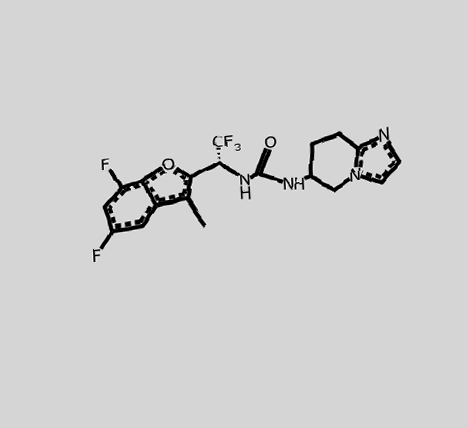 Cc1c([C@@H](NC(=O)NC2CCc3nccn3C2)C(F)(F)F)oc2c(F)cc(F)cc12